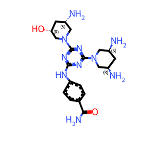 NC(=O)c1ccc(Nc2nc(N3C[C@H](N)C[C@H](N)C3)nc(N3C[C@@H](N)C[C@@H](O)C3)n2)cc1